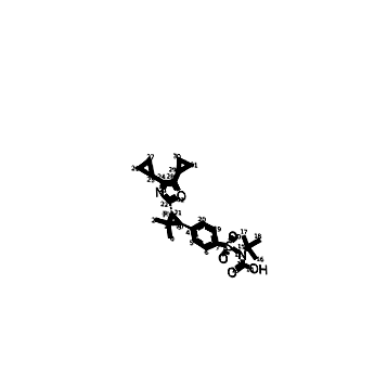 CC1(C)[C@H](c2ccc(S(=O)(=O)N(C(=O)O)C(C)(C)C)cc2)[C@H]1c1nc(C2CC2)c(C2CC2)o1